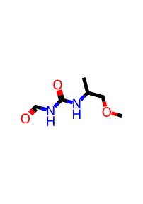 COCC(C)NC(=O)NC=O